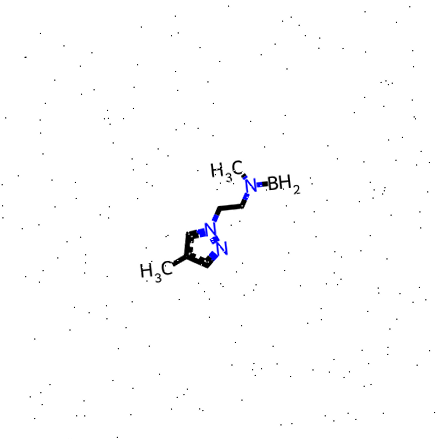 BN(C)CCn1cc(C)cn1